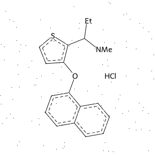 CCC(NC)c1sccc1Oc1cccc2ccccc12.Cl